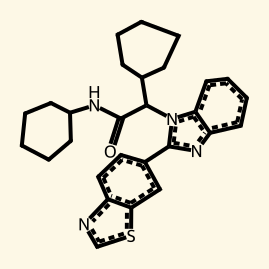 O=C(NC1CCCCC1)C(C1CCCCC1)n1c(-c2ccc3ncsc3c2)nc2ccccc21